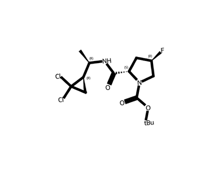 C[C@@H](NC(=O)[C@@H]1C[C@@H](F)CN1C(=O)OC(C)(C)C)[C@H]1CC1(Cl)Cl